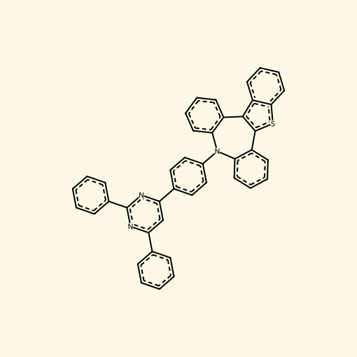 c1ccc(-c2cc(-c3ccc(N4c5ccccc5-c5sc6ccccc6c5-c5ccccc54)cc3)nc(-c3ccccc3)n2)cc1